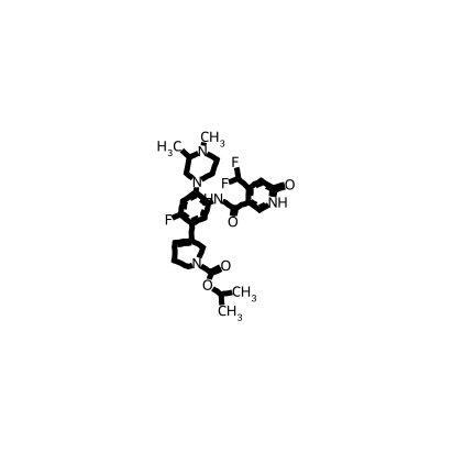 CC(C)OC(=O)N1CCC=C(c2cc(NC(=O)c3c[nH]c(=O)cc3C(F)F)c(N3CCN(C)C(C)C3)cc2F)C1